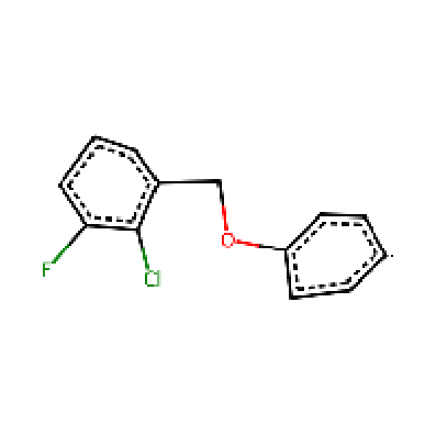 Fc1cccc(COc2cc[c]cc2)c1Cl